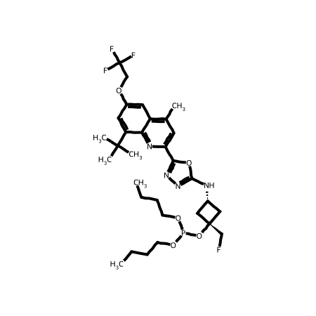 CCCCOP(OCCCC)O[C@]1(CF)C[C@H](Nc2nnc(-c3cc(C)c4cc(OCC(F)(F)F)cc(C(C)(C)C)c4n3)o2)C1